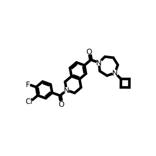 O=C(c1ccc2c(c1)CCN(C(=O)c1ccc(F)c(Cl)c1)C2)N1CCCN(C2CCC2)CC1